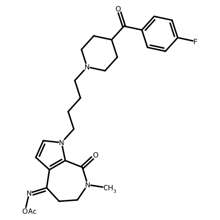 CC(=O)ON=C1CCN(C)C(=O)c2c1ccn2CCCCN1CCC(C(=O)c2ccc(F)cc2)CC1